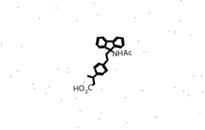 CC(=O)NC1(CCc2ccc(C(C)CC(=O)O)cc2)c2ccccc2-c2ccccc21